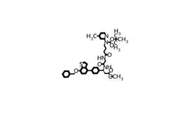 COC(=O)C[C@H](NC(=O)CNC(=O)CCCN(C(=O)OC(C)(C)C)c1cc(C)ccn1)c1ccc(-c2ccc(OCc3ccccc3)c3sccc23)cc1